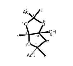 CC(=O)[C@]1(C)O[C@@]2(C)O[C@@](C)(C(C)=O)C[C@@]2(O)O1